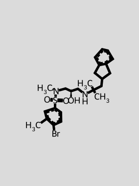 Cc1cc(S(=O)(=O)N(C)C[C@H](O)CNC(C)(C)CC2Cc3ccccc3C2)ccc1Br